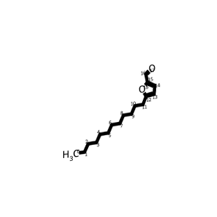 CCCCCCCCCCCCc1ccc(C=O)o1